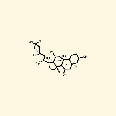 C[C@H](C[C@@H](O)CC(C)(C)O)[C@H]1CC[C@H]2[C@@H]3[C@H](O)C[C@@H]4C[C@H](O)CC[C@]4(C)[C@H]3C[C@H](O)[C@]12C